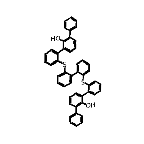 Oc1c(-c2ccccc2)cccc1-c1ccccc1Sc1ccccc1-c1ccccc1Sc1ccccc1-c1cccc(-c2ccccc2)c1O